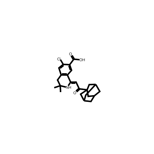 CC1(C)Cc2cc(Cl)c(C(=O)O)cc2C(=CC(=O)C23CC4CC(CC(C4)C2)C3)N1